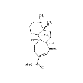 COC(=O)C1=CC(=O)[C@@H]2CC[C@H]3C(C)(C)CCC[C@]3(C)[C@H]2CC1